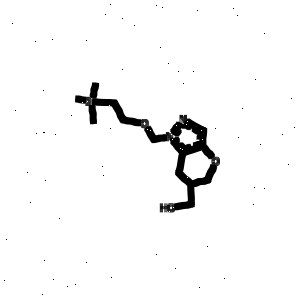 C[Si](C)(C)CCOCn1ncc2c1CC(CO)CO2